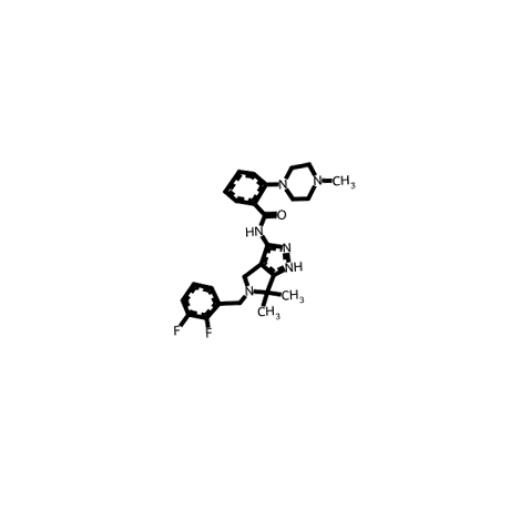 CN1CCN(c2ccccc2C(=O)Nc2n[nH]c3c2CN(Cc2cccc(F)c2F)C3(C)C)CC1